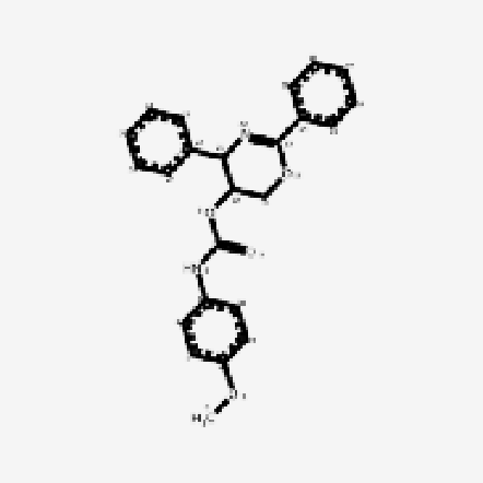 COc1ccc(NC(=O)OC2COC(c3ccccc3)=NC2c2ccccc2)cc1